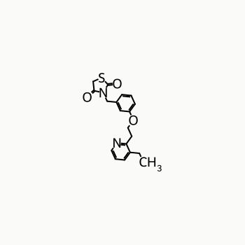 CCc1cccnc1CCOc1cccc(CN2C(=O)CSC2=O)c1